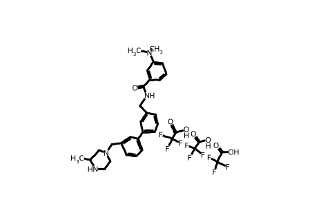 CC1CN(Cc2cccc(-c3cccc(CNC(=O)c4cccc(N(C)C)c4)c3)c2)CCN1.O=C(O)C(F)(F)F.O=C(O)C(F)(F)F.O=C(O)C(F)(F)F